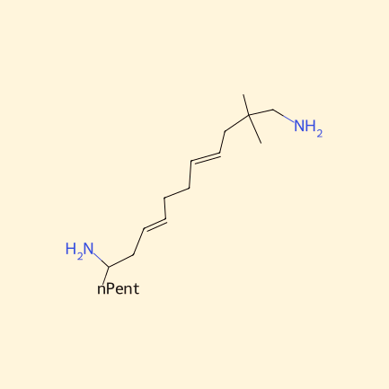 CCCCCC(N)CC=CCCC=CCC(C)(C)CN